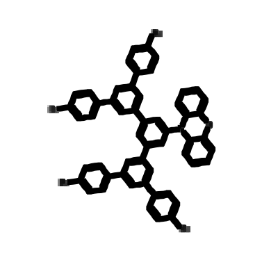 CCC(C)c1ccc(-c2cc(-c3ccc(C(C)CC)cc3)cc(-c3cc(-c4cc(-c5ccc(C(C)CC)cc5)cc(-c5ccc(C(C)CC)cc5)c4)cc(N4c5ccccc5Oc5ccccc54)c3)c2)cc1